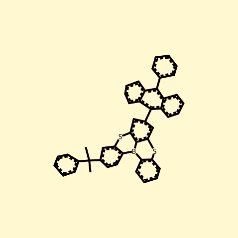 CC(C)(c1ccccc1)c1ccc2c(c1)Sc1cc(-c3c4ccccc4c(-c4ccccc4)c4ccccc34)cc3c1B2c1ccccc1S3